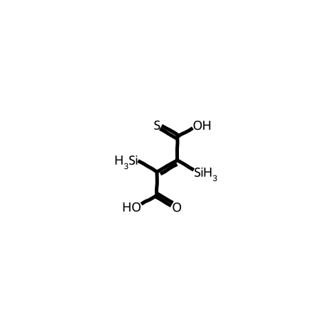 O=C(O)C([SiH3])=C([SiH3])C(O)=S